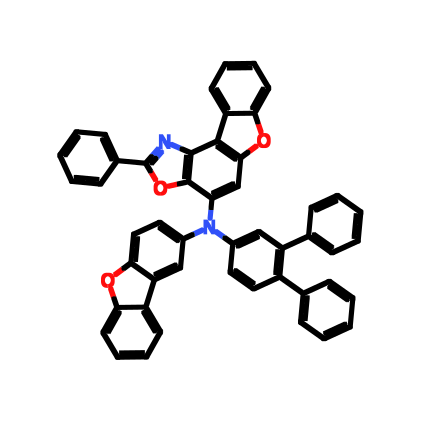 c1ccc(-c2nc3c(o2)c(N(c2ccc(-c4ccccc4)c(-c4ccccc4)c2)c2ccc4oc5ccccc5c4c2)cc2oc4ccccc4c23)cc1